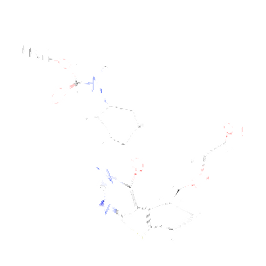 CN(C(=O)OC(C)(C)C)[C@H]1CC[C@H](Oc2ncnc3sc4c(c23)[C@@H](COCCO)CC4)CC1